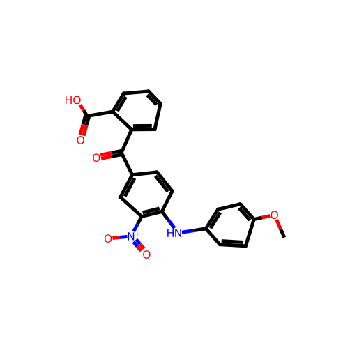 COc1ccc(Nc2ccc(C(=O)c3ccccc3C(=O)O)cc2[N+](=O)[O-])cc1